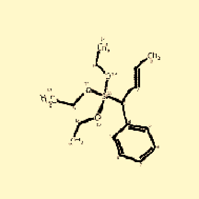 C/C=C/C(c1ccccc1)[Si](OCC)(OCC)OCC